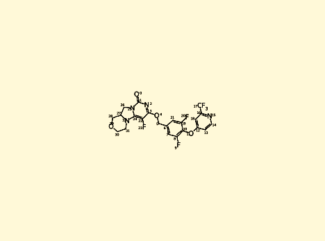 O=c1nc(OCc2cc(F)c(Oc3ccnc(C(F)(F)F)c3)c(F)c2)c(F)c2n1CC1COCCN21